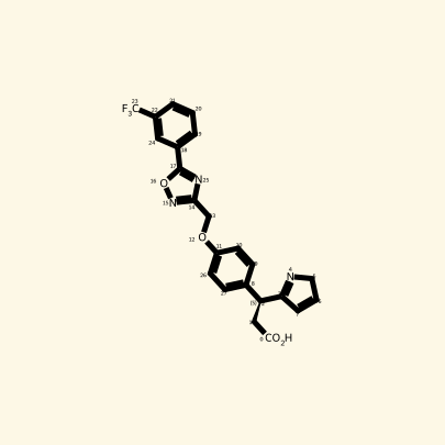 O=C(O)C[C@H](C1=NCC=C1)c1ccc(OCc2noc(-c3cccc(C(F)(F)F)c3)n2)cc1